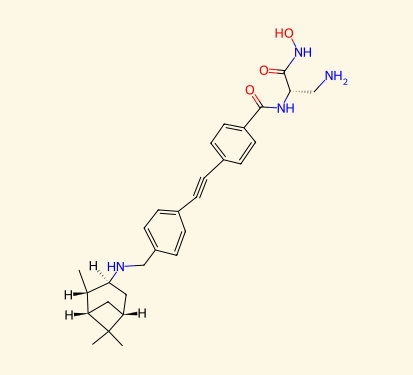 C[C@@H]1[C@@H](NCc2ccc(C#Cc3ccc(C(=O)N[C@@H](CN)C(=O)NO)cc3)cc2)C[C@H]2C[C@@H]1C2(C)C